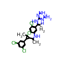 C=C(N/C(=N/N)NN)c1cc(NC(=C)C2C(c3cc(Cl)cc(Cl)c3)C2(C)Cl)ccc1Cl